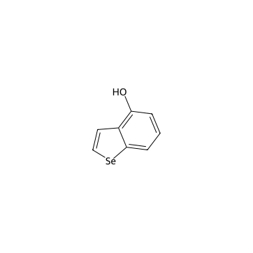 Oc1cccc2[se]ccc12